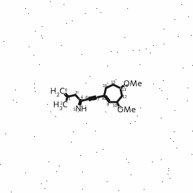 C=C(C)CC(=N)C#CC1=CC(OC)CC(OC)CC1